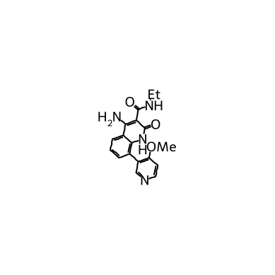 CCNC(=O)c1c(N)c2cccc(-c3cnccc3OC)c2[nH]c1=O